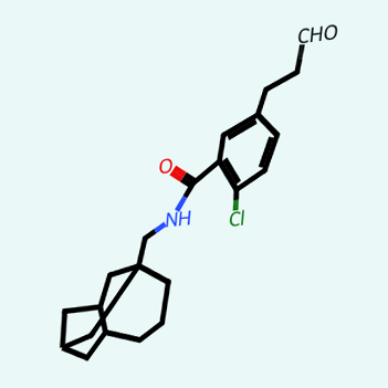 O=CCCc1ccc(Cl)c(C(=O)NCC23CCCC4CC(CC4C2)C3)c1